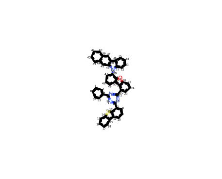 c1ccc(-c2nc(-c3cccc4c3sc3ccccc34)nc(-c3cccc4oc5c(-n6c7ccccc7c7cc8ccccc8cc76)cccc5c34)n2)cc1